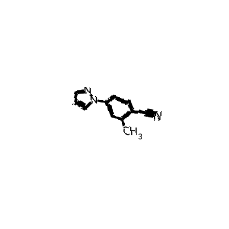 Cc1cc(-n2c[c]cn2)ccc1C#N